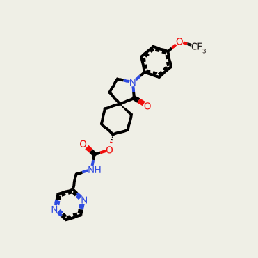 O=C(NCc1cnccn1)O[C@H]1CC[C@]2(CCN(c3ccc(OC(F)(F)F)cc3)C2=O)CC1